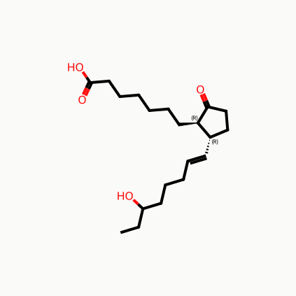 CCC(O)CCCC=C[C@H]1CCC(=O)[C@@H]1CCCCCCC(=O)O